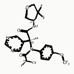 C[C@@](C(=O)N[C@H]1COCC1(F)F)(c1cncnc1)N(C(=O)[C@H](F)Cl)c1ccc(OC(F)(F)F)cc1